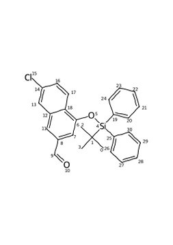 CC(C)(C)[Si](Oc1cc(C=O)cc2cc(Cl)ccc12)(c1ccccc1)c1ccccc1